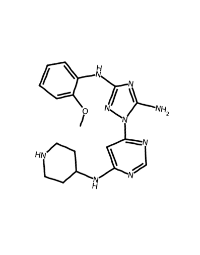 COc1ccccc1Nc1nc(N)n(-c2cc(NC3CCNCC3)ncn2)n1